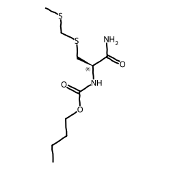 CCCCOC(=O)N[C@@H](CSCSC)C(N)=O